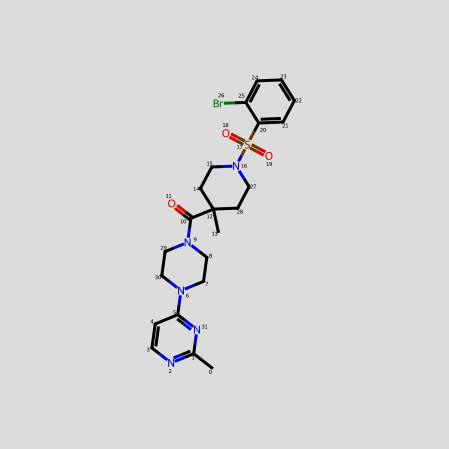 Cc1nccc(N2CCN(C(=O)C3(C)CCN(S(=O)(=O)c4ccccc4Br)CC3)CC2)n1